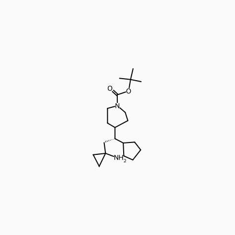 CC(C)(C)OC(=O)N1CCC([C@@H](CC2(N)CC2)C2CCCC2)CC1